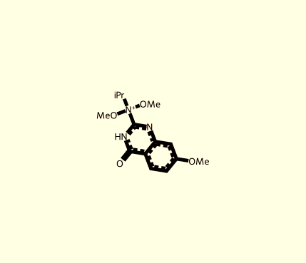 COc1ccc2c(=O)[nH]c([N+](OC)(OC)C(C)C)nc2c1